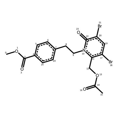 COC(=O)c1ccc(CCn2c(COC(C)=O)c(Br)cc(Br)c2=O)cc1